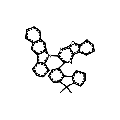 CC1(C)c2ccccc2-c2c(-c3nc4c(nc3-n3c5ccccc5c5cc6ccccc6cc53)oc3ccccc34)cccc21